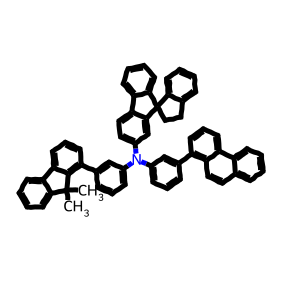 CC1(C)c2ccccc2-c2cccc(-c3cccc(N(c4cccc(-c5cccc6c5ccc5ccccc56)c4)c4ccc5c(c4)C4(CCc6ccccc64)c4ccccc4-5)c3)c21